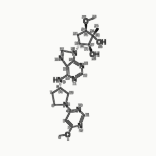 COc1cc(N2CC[C@H](Nc3ncnc4c3ncn4[C@@H]3C[C@@H](OC)[C@](C)(O)[C@H]3O)C2)ncn1